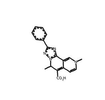 CC1C(C(=O)O)=C2C=CN(C)C=C2c2nc(-c3ccccc3)nn21